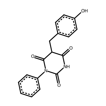 O=C1NC(=O)N(c2ccccc2)C(=O)C1Cc1ccc(O)cc1